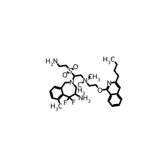 CCCCc1cc2ccccc2c(OCC[N+](C)(C)CC(N2Cc3cccc(C)c3C(F)(F)C(N)C2)S(=O)(=O)CCN)n1